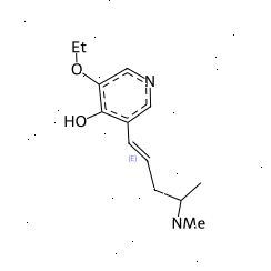 CCOc1cncc(/C=C/CC(C)NC)c1O